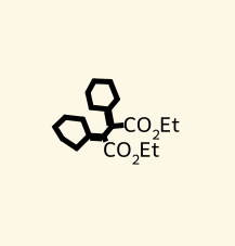 CCOC(=O)C(=C1CCCCC1)C(C(=O)OCC)=C1CCCCC1